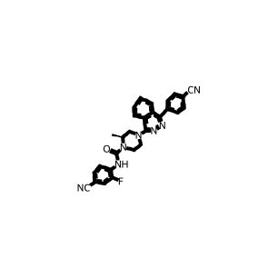 C[C@H]1CN(c2nnc(-c3ccc(C#N)cc3)c3ccccc23)CCN1C(=O)Nc1ccc(C#N)cc1F